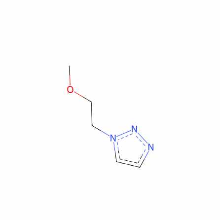 COCCn1ccnn1